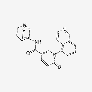 O=C(NC1CN2CCC1CC2)c1ccc(=O)n(-c2cccc3cnccc23)c1